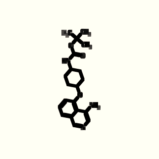 CC(C)(C)OC(=O)NC1CCC(Oc2cccc3cncc(N)c23)CC1